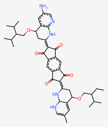 CCC(COC1CC(=C2C(=O)c3cc4c(cc3C2=O)C(=O)C(=C2CC(OCC(C(C)C)C(C)C)c3cc(N)cnc3N2)C4=O)NC2NC=C(C)C=C21)C(C)C